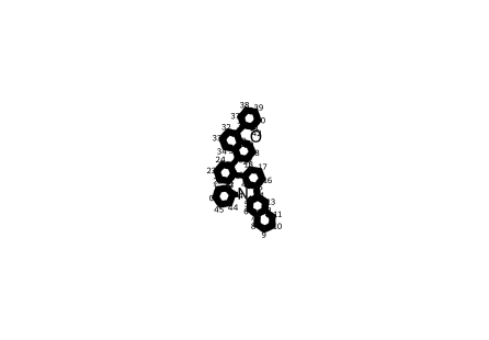 c1ccc(-n2c3cc4ccccc4cc3c3cccc(-c4ccccc4-c4ccc5c6c(cccc46)-c4ccccc4O5)c32)cc1